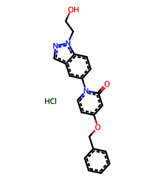 Cl.O=c1cc(OCc2ccccc2)ccn1-c1ccc2c(cnn2CCO)c1